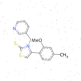 COc1cc(C)ccc1-c1csc(=S)n1Cc1cccnc1